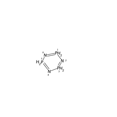 N1=[PH2]N=[PH2]N=[PH2]1